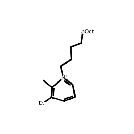 CCCCCCCCCCCC[n+]1cccc(CC)c1C